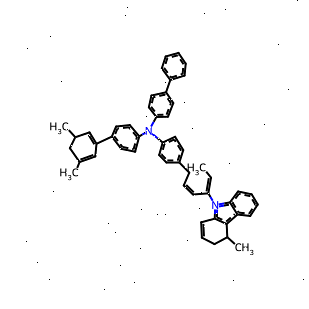 C/C=C(\C=C/Cc1ccc(N(c2ccc(C3=CC(C)CC(C)=C3)cc2)c2ccc(-c3ccccc3)cc2)cc1)n1c2c(c3ccccc31)C(C)CC=C2